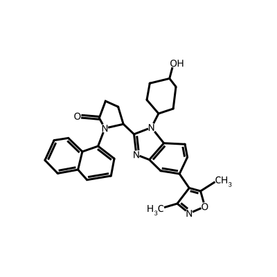 Cc1noc(C)c1-c1ccc2c(c1)nc(C1CCC(=O)N1c1cccc3ccccc13)n2C1CCC(O)CC1